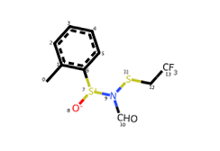 Cc1ccccc1[S+]([O-])N(C=O)SCC(F)(F)F